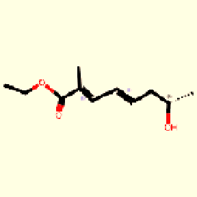 CCOC(=O)/C(C)=C/C=C/C[C@H](C)O